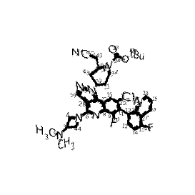 CN(C)C1CN(c2nc3c(F)c(-c4ccc(F)c5cccnc45)c(Cl)cc3c3c2cnn3[C@H]2CCN(C(=O)OC(C)(C)C)[C@H](CC#N)C2)C1